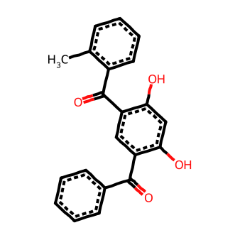 Cc1ccccc1C(=O)c1cc(C(=O)c2ccccc2)c(O)cc1O